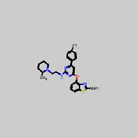 CC(=O)Nc1nc2c(Oc3cc(-c4ccc(C(F)(F)F)cc4)nc(NCCN4CCCCC4C)n3)cccc2s1